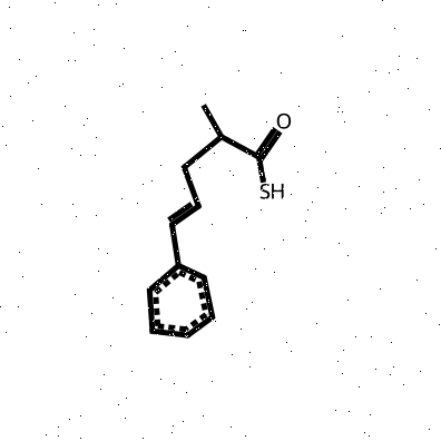 CC(C/C=C/c1ccccc1)C(=O)S